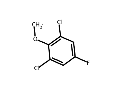 [CH2]Oc1c(Cl)cc(F)cc1Cl